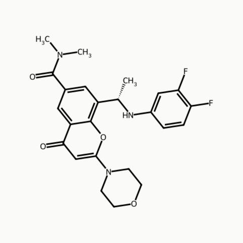 C[C@H](Nc1ccc(F)c(F)c1)c1cc(C(=O)N(C)C)cc2c(=O)cc(N3CCOCC3)oc12